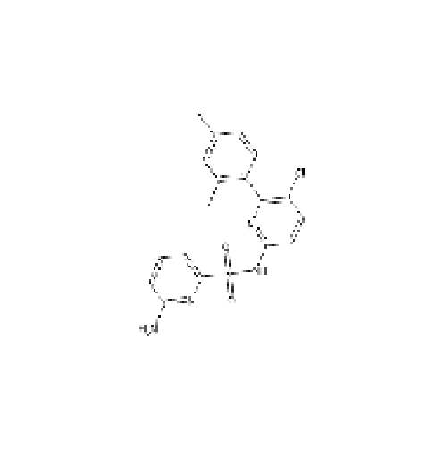 Cc1ccc(-c2nc(NS(=O)(=O)c3cccc(N)n3)ccc2Cl)c(C)c1